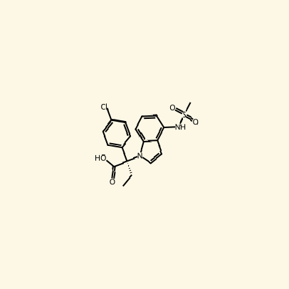 CC[C@](C(=O)O)(c1ccc(Cl)cc1)n1ccc2c(NS(C)(=O)=O)cccc21